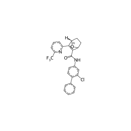 O=C(Nc1ccc(-c2ccccc2)c(Cl)c1)C1=C(c2cccc(C(F)(F)F)n2)[C@@H]2CCC1O2